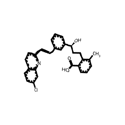 Cc1cccc(C(=O)O)c1CC[C@H](O)c1cccc(C=Cc2ccc3ccc(Cl)cc3n2)c1